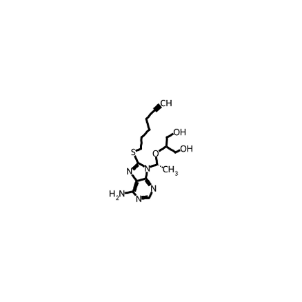 C#CCCCCSc1nc2c(N)ncnc2n1[C@@H](C)OC(CO)CO